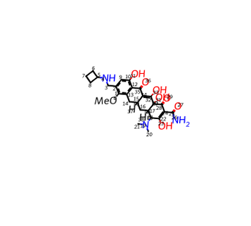 COc1c(CNC2CCC2)cc(O)c2c1C[C@H]1C[C@H]3[C@H](N(C)C)C(O)=C(C(N)=O)C(=O)[C@@]3(O)C(O)=C1C2=O